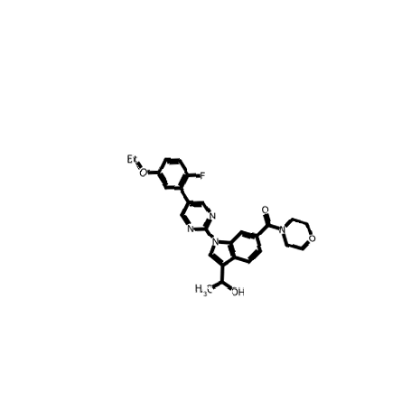 CCOc1ccc(F)c(-c2cnc(-n3cc(C(C)O)c4ccc(C(=O)N5CCOCC5)cc43)nc2)c1